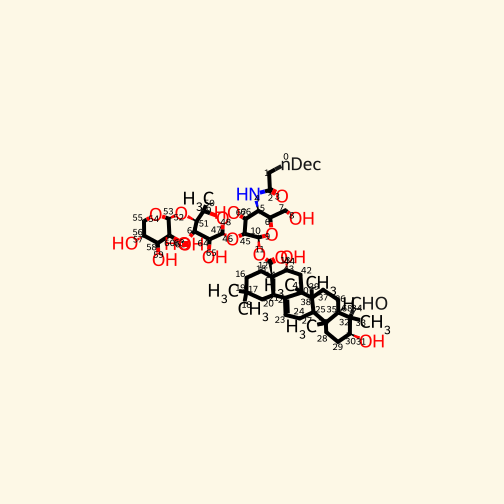 CCCCCCCCCCCC(=O)N[C@H]1C(CO)O[C@@H](OC(=O)[C@]23CCC(C)(C)CC2C2=CCC4C5(C)CC[C@H](O)C(C)(C=O)[C@@H]5CCC4(C)C2(C)C[C@H]3O)C(O[C@@H]2OC(C)[C@H](O[C@@H]3OC[C@@H](O)C(O)C3O)C(O)C2O)C1O